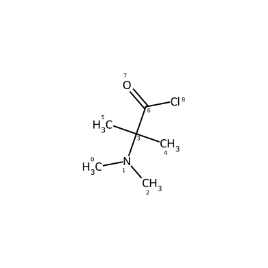 CN(C)C(C)(C)C(=O)Cl